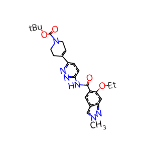 CCOc1cc2nn(C)cc2cc1C(=O)Nc1ccc(C2=CCN(C(=O)OC(C)(C)C)CC2)nn1